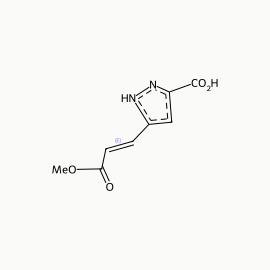 COC(=O)/C=C/c1cc(C(=O)O)n[nH]1